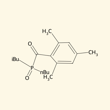 CCCCP(=O)(C(=O)c1c(C)cc(C)cc1C)C(C)CC